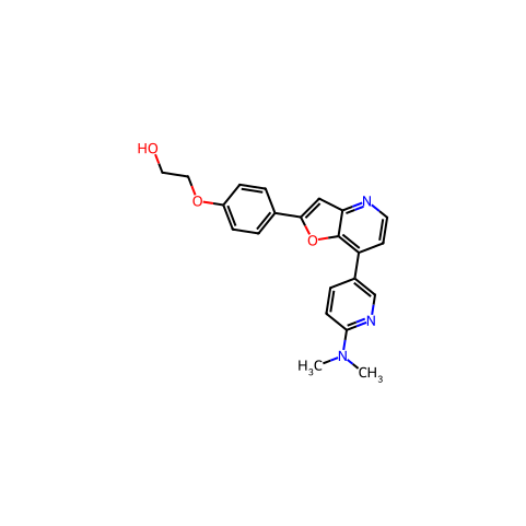 CN(C)c1ccc(-c2ccnc3cc(-c4ccc(OCCO)cc4)oc23)cn1